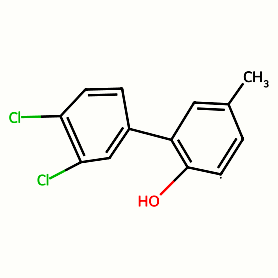 Cc1c[c]c(O)c(-c2ccc(Cl)c(Cl)c2)c1